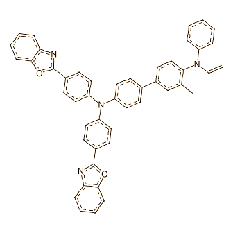 C=CN(c1ccccc1)c1ccc(-c2ccc(N(c3ccc(-c4nc5ccccc5o4)cc3)c3ccc(-c4nc5ccccc5o4)cc3)cc2)cc1C